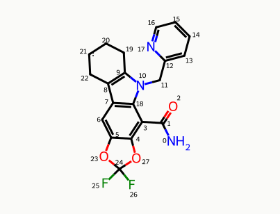 NC(=O)c1c2c(cc3c4c(n(Cc5ccccn5)c13)CC[C]C4)OC(F)(F)O2